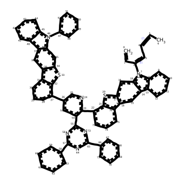 C=C/C(=C\C=C/C)n1c2ccccc2c2cc3c(cc21)sc1c(-c2ncc(-c4cccc5c4sc4cc6c(cc45)c4ccccc4n6-c4ccccc4)cc2-c2nc(-c4ccccc4)nc(-c4ccccc4)n2)cccc13